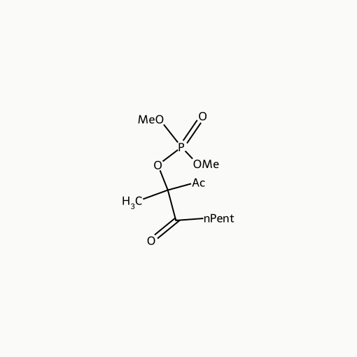 CCCCCC(=O)C(C)(OP(=O)(OC)OC)C(C)=O